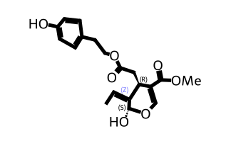 C/C=C1\[C@@H](O)OC=C(C(=O)OC)[C@@H]1CC(=O)OCCc1ccc(O)cc1